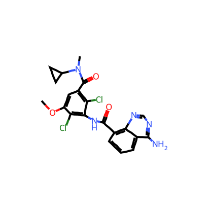 COc1cc(C(=O)N(C)C2CC2)c(Cl)c(NC(=O)c2cccc3c(N)ncnc23)c1Cl